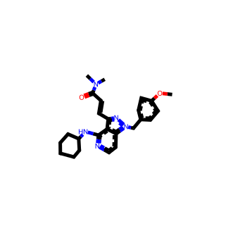 COc1ccc(Cn2nc(C=CC(=O)N(C)C)c3c(NC4CCCCC4)nccc32)cc1